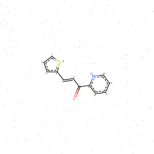 O=C(C=Cc1cccs1)c1ccccn1